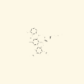 CCOC(=O)C[C@H]1O[C@H](c2cccc(CC)c2OC)c2cc(Cl)ccc2N(Cc2ccc(OC)cc2OC)C1=O